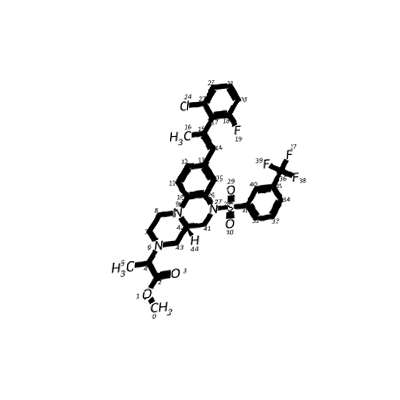 COC(=O)C(C)N1CCN2c3ccc(/C=C(\C)c4c(F)cccc4Cl)cc3N(S(=O)(=O)c3cccc(C(F)(F)F)c3)C[C@@H]2C1